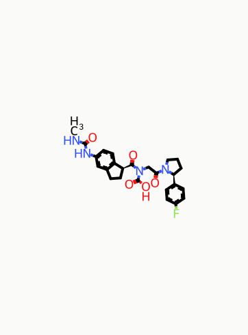 CNC(=O)Nc1ccc2c(c1)CC[C@@H]2C(=O)N(CC(=O)N1CCC[C@H]1c1ccc(F)cc1)C(=O)O